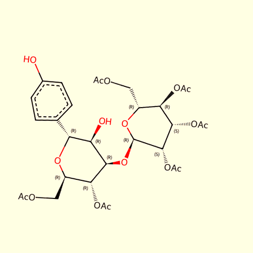 CC(=O)OC[C@H]1O[C@H](O[C@@H]2[C@H](O)[C@@H](c3ccc(O)cc3)O[C@H](COC(C)=O)[C@H]2OC(C)=O)[C@@H](OC(C)=O)[C@@H](OC(C)=O)[C@@H]1OC(C)=O